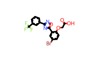 O=C(O)COc1ccc(Br)cc1-c1nc(-c2cccc(C(F)(F)F)c2)no1